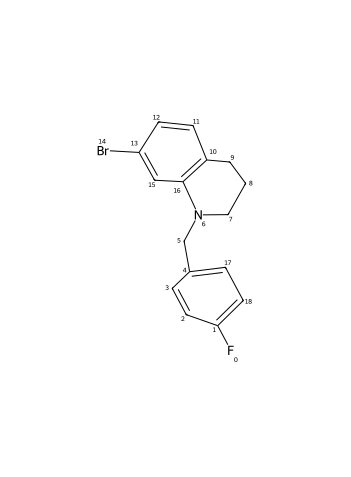 Fc1ccc(CN2CCCc3ccc(Br)cc32)cc1